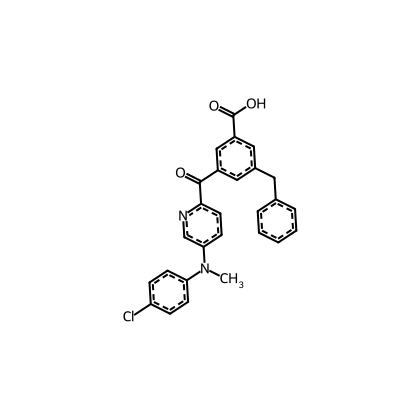 CN(c1ccc(Cl)cc1)c1ccc(C(=O)c2cc(Cc3ccccc3)cc(C(=O)O)c2)nc1